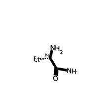 CC[C@H](N)C([NH])=O